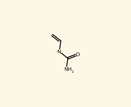 C=C[N]C(N)=O